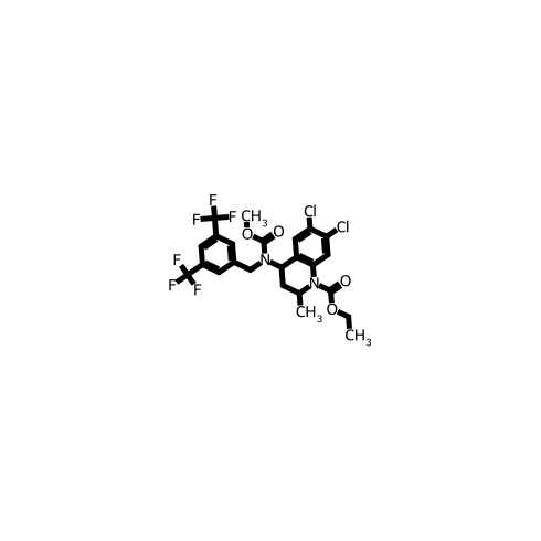 CCOC(=O)N1c2cc(Cl)c(Cl)cc2C(N(Cc2cc(C(F)(F)F)cc(C(F)(F)F)c2)C(=O)OC)CC1C